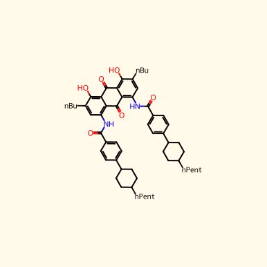 CCCCCC1CCC(c2ccc(C(=O)Nc3cc(CCCC)c(O)c4c3C(=O)c3c(NC(=O)c5ccc(C6CCC(CCCCC)CC6)cc5)cc(CCCC)c(O)c3C4=O)cc2)CC1